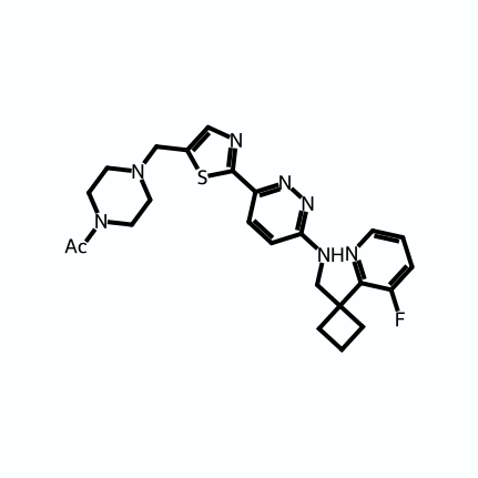 CC(=O)N1CCN(Cc2cnc(-c3ccc(NCC4(c5ncccc5F)CCC4)nn3)s2)CC1